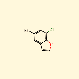 CCc1cc(Cl)c2occc2c1